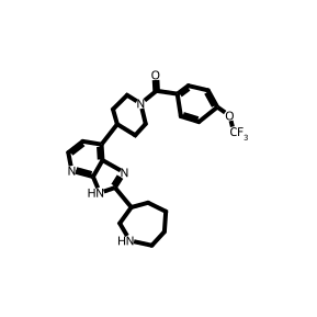 O=C(c1ccc(OC(F)(F)F)cc1)N1CCC(c2ccnc3[nH]c(C4CCCCNC4)nc23)CC1